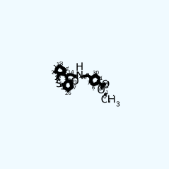 CCOC(=O)c1ccc(CCNC(=O)CC2c3ccccc3CSc3ccccc32)cc1